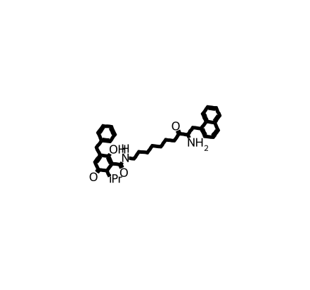 CC(C)C1C(=O)C=C(Cc2ccccc2)C(O)=C1C(=O)NCCCCCCCC(=O)C(N)Cc1cccc2ccccc12